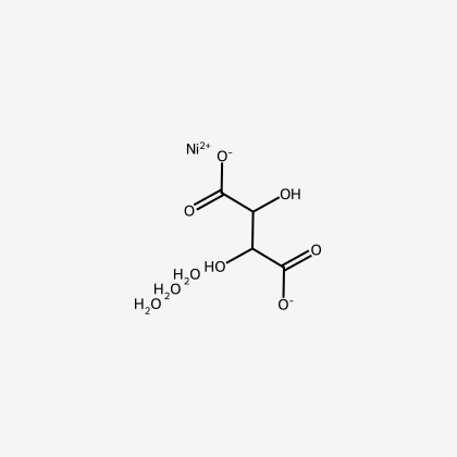 O.O.O.O=C([O-])C(O)C(O)C(=O)[O-].[Ni+2]